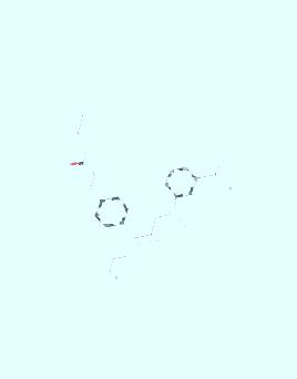 CCCC(O)c1cccc(N(C[C@@H](C=O)[C@H](CCC(C)(C)C)c2ccc(CCC(=O)OCCO)cc2)C(C)=O)c1